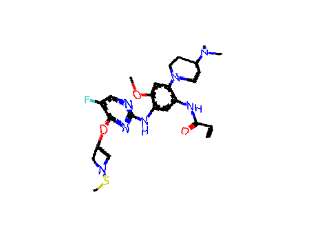 C=CC(=O)Nc1cc(Nc2ncc(F)c(OC3CN(SC)C3)n2)c(OC)cc1N1CCC(N(C)C)CC1